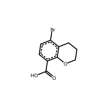 O=C(O)c1ccc(Br)c2c1OCCC2